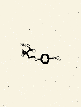 COC(=O)C1(CCOc2ccc([N+](=O)[O-])cc2)CO1